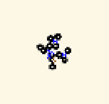 c1ccc(-c2cc3nc(-n4c5ccc(-c6cccc7c8ccccc8n(-c8ccccc8)c67)cc5c5c6ccccc6ccc54)nc(-c4ccc5c(c4)c4ccccc4n5-c4ccccc4)c3s2)cc1